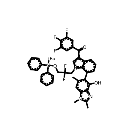 Cc1cc2c(nc(C)n2C)c(O)c1-c1cccc2c(C(=O)c3cc(F)c(F)c(F)c3)cn(CC(F)(F)CO[Si](c3ccccc3)(c3ccccc3)C(C)(C)C)c12